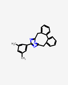 Cc1cc(C)cc(-c2nc3nc(n2)Cc2ccccc2-c2ccccc2C3)c1